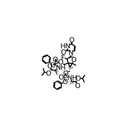 CC(C)OC(=O)[C@H](C)NP(=O)(OC[C@H]1C2(C)O[C@@H](n3ccc(=O)[nH]c3=O)C(F)C12COP(=O)(N[C@@H](C)C(=O)OC(C)C)Oc1ccccc1)Oc1ccccc1